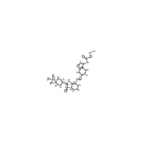 CCOC(=O)Cc1coc2cc(OCc3cccc4c3CN(c3ccc(C(F)(F)F)cc3)C4=O)ccc12